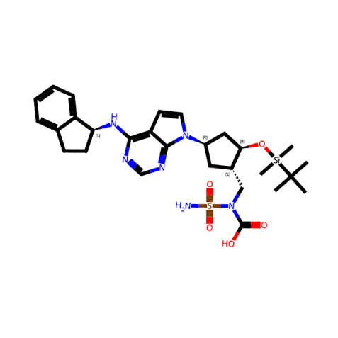 CC(C)(C)[Si](C)(C)O[C@@H]1C[C@H](n2ccc3c(N[C@H]4CCc5ccccc54)ncnc32)C[C@H]1CN(C(=O)O)S(N)(=O)=O